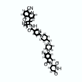 CC1(C)[C@H](NC(=O)c2ccc(N3CCC(CN4CCN(c5cc6c(cc5F)C(=O)N([C@H]5CCC(=O)NC5=O)C6)CC4)CC3)nc2)C2(C)c3ccnc4c(C#N)ccc(c34)O[C@@H]12